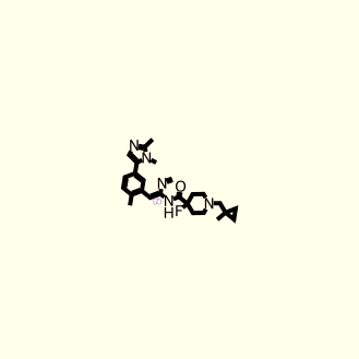 C=N/C(=C\c1cc(-c2cnc(C)n2C)ccc1C)NC(=O)C1(F)CCN(CC2(C)CC2)CC1